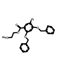 COCCOC(=O)c1cc(C(C)C)c(OCc2ccccc2)cc1OCc1ccccc1